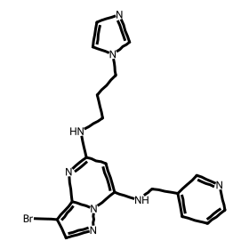 Brc1cnn2c(NCc3cccnc3)cc(NCCCn3ccnc3)nc12